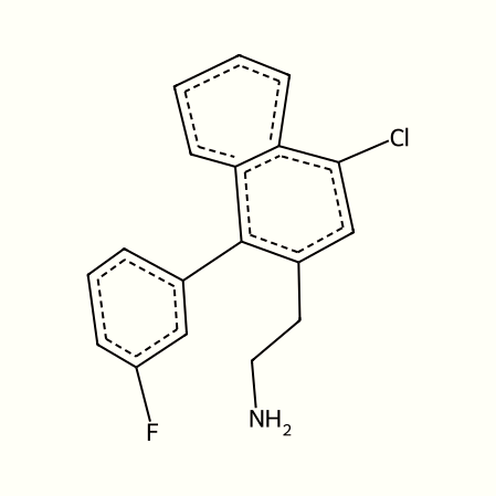 NCCc1cc(Cl)c2ccccc2c1-c1cccc(F)c1